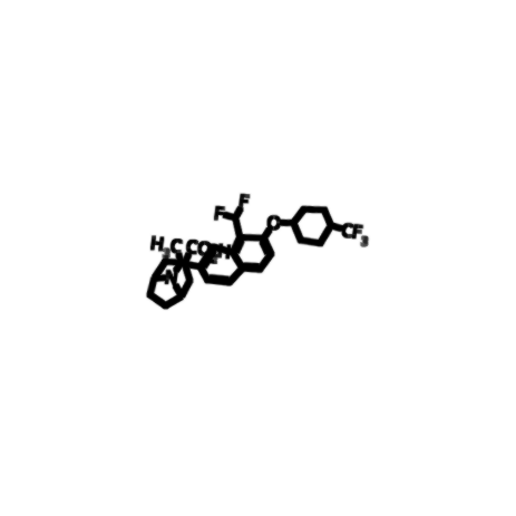 CC(c1ccc2ccc(OC3CCC(C(F)(F)F)CC3)c(C(F)F)c2c1)N1C2CCC1CC(C(=O)O)C2